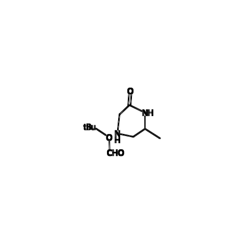 CC(C)(C)OC=O.CC1CNCC(=O)N1